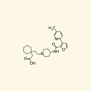 Cc1ccc(-c2ccoc2C(=O)NC2CCN(CCC3(CC(=O)O)CCCCC3)CC2)nc1